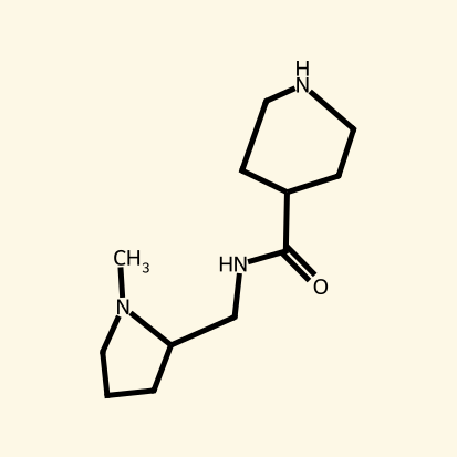 CN1CCCC1CNC(=O)C1CCNCC1